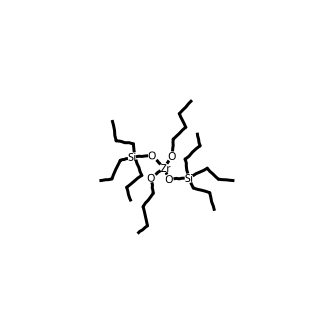 CCCC[O][Zr]([O]CCCC)([O][Si](CCC)(CCC)CCC)[O][Si](CCC)(CCC)CCC